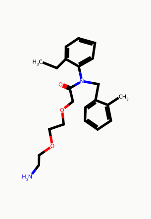 CCc1ccccc1N(Cc1ccccc1C)C(=O)COCCOCCN